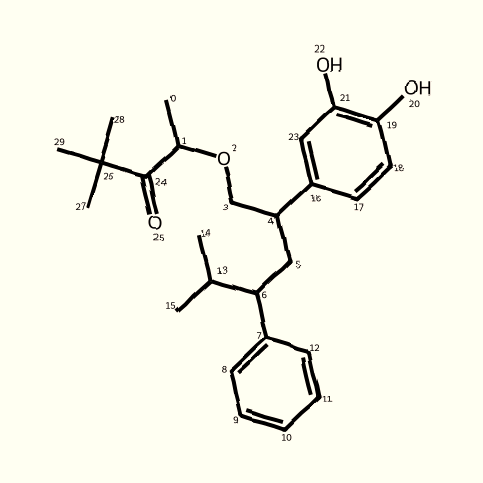 CC(OCC(CC(c1ccccc1)C(C)C)c1ccc(O)c(O)c1)C(=O)C(C)(C)C